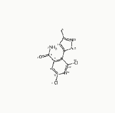 Cc1cc(-c2c(C(N)=O)cc(Cl)nc2Cl)sn1